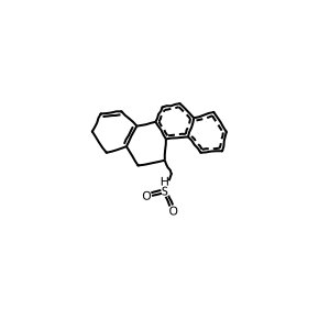 O=[SH](=O)CC1CC2=C(C=CCC2)c2ccc3ccccc3c21